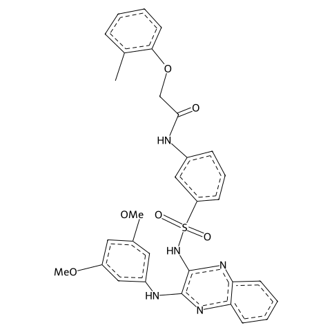 COc1cc(Nc2nc3ccccc3nc2NS(=O)(=O)c2cccc(NC(=O)COc3ccccc3C)c2)cc(OC)c1